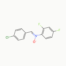 [O-][N+](=Cc1ccc(Cl)cc1)c1ccc(F)cc1F